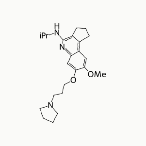 COc1cc2c3c(c(NC(C)C)nc2cc1OCCCN1CCCC1)CCC3